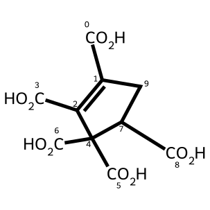 O=C(O)C1=C(C(=O)O)C(C(=O)O)(C(=O)O)C(C(=O)O)C1